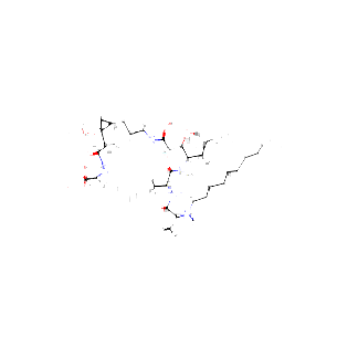 CCCCCCCCCN(C)[C@H](C(=O)N[C@H](C(=O)N(C)[C@@H]([C@@H](C)CC)[C@@H](CC(=O)NCCC[C@@H]1C[C@@]1(OC)[C@@H](C)C(=O)N[C@@H](C)C(=O)O)OC)C(C)C)C(C)C